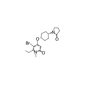 CCc1c(Br)c(O[C@H]2CC[C@H](N3CCCC3=O)CC2)cc(=O)n1C